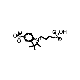 CC1=[N+](CCCCS(=O)(=O)O)c2ccc(S(=O)(=O)[O-])cc2C1(C)C